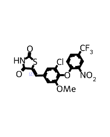 COc1cc(/C=C2\SC(=O)NC2=O)cc(Cl)c1Oc1ccc(C(F)(F)F)cc1[N+](=O)[O-]